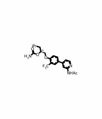 CC(=O)Nc1cc(-c2ccc(OC[C@H](CC(C)C)OC(N)=O)c(C(F)(F)F)c2)ccn1